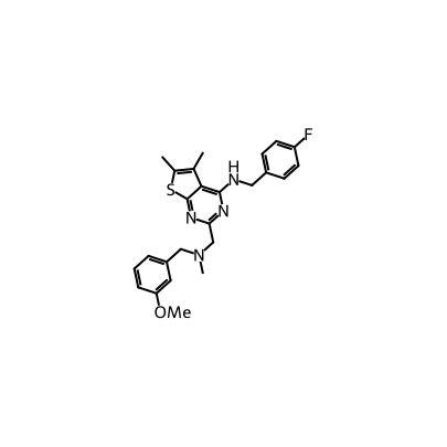 COc1cccc(CN(C)Cc2nc(NCc3ccc(F)cc3)c3c(C)c(C)sc3n2)c1